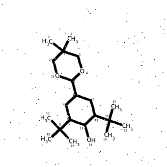 CC1(C)COC(C2CC(C(C)(C)C)C(O)C(C(C)(C)C)C2)OC1